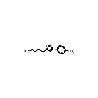 Cc1ccc(-c2cc(CCCCN)on2)cc1